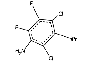 CC(C)c1c(Cl)c(N)c(F)c(F)c1Cl